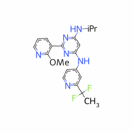 COc1ncccc1-c1nc(Nc2ccnc(C(C)(F)F)c2)cc(NC(C)C)n1